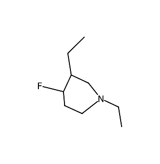 CCC1CN(CC)CCC1F